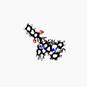 CC(C)c1cccc2c1N1/C(=C/C=C3C(=O)c4cc5ccccc5cc4C3=O)C(C)(C)c3cc4c(c(c31)C2C)Sc1ccccc1N4c1c(C(C)C)cccc1C(C)C